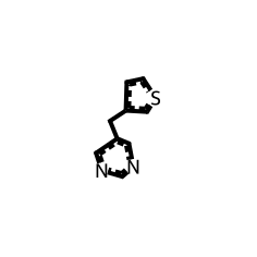 c1ncc(Cc2ccsc2)cn1